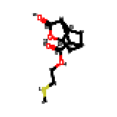 CSCCOC(=O)C1C2CC3OC(=O)C1C3C2